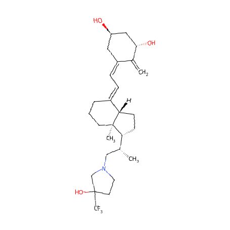 C=C1/C(=C\C=C2/CCC[C@]3(C)[C@@H]([C@H](C)CN4CCC(O)(C(F)(F)F)C4)CC[C@@H]23)C[C@@H](O)C[C@@H]1O